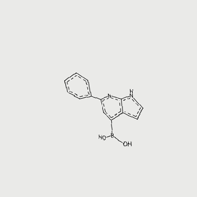 OB(O)c1cc(-c2ccccc2)nc2[nH]ccc12